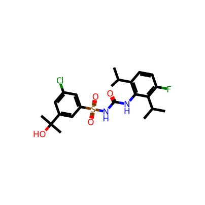 CC(C)c1ccc(F)c(C(C)C)c1NC(=O)NS(=O)(=O)c1cc(Cl)cc(C(C)(C)O)c1